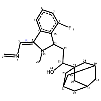 C=N/C=C1/c2cccc(F)c2C(CC(O)C23CC4CC(CC(C4)C2)C3)N1C